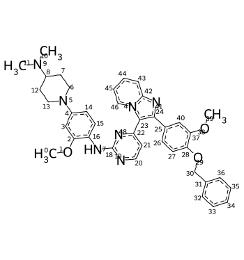 COc1cc(N2CCC(N(C)C)CC2)ccc1Nc1nccc(-c2c(-c3ccc(OCc4ccccc4)c(OC)c3)nc3ccccn23)n1